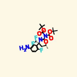 C[C@@H]1C[C@](c2cc(N)ccc2F)(C(F)F)N=C(N(C(=O)OC(C)(C)C)C(=O)OC(C)(C)C)O1